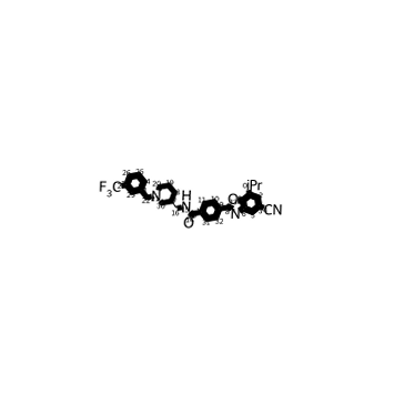 CC(C)c1cc(C#N)cc2nc(-c3ccc(C(=O)NC[C@H]4CCCN(Cc5cccc(C(F)(F)F)c5)C4)cc3)oc12